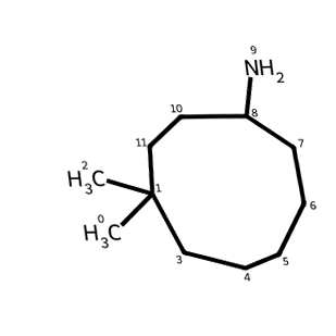 CC1(C)CCCCCC(N)CC1